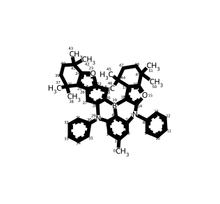 Cc1cc2c3c(c1)N(c1ccccc1)c1oc4c(c1B3c1cc3oc5c(c3cc1N2c1ccccc1)C(C)(C)CCC5(C)C)C(C)(C)CCC4(C)C